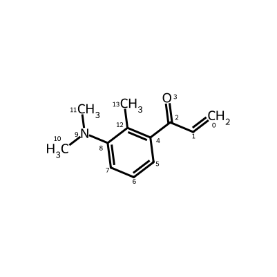 C=CC(=O)c1cccc(N(C)C)c1C